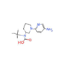 CC(C)(C)N(C(=O)O)C1CCCN(c2ccc(N)cn2)C1